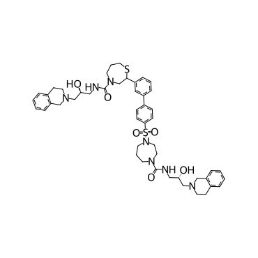 O=C(NC[C@H](O)CN1CCc2ccccc2C1)N1CCCN(S(=O)(=O)c2ccc(-c3cccc(C4CN(C(=O)NC[C@H](O)CN5CCc6ccccc6C5)CCCS4)c3)cc2)CC1